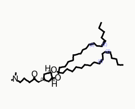 CCCC/C=C\C/C=C\CCCCCCCCC1(CCCCCCCC/C=C\C/C=C\CCCC)O[C@H]2C[C@H](CC(=O)CCCN(C)C)C[C@H]2O1